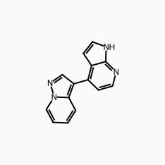 c1ccn2ncc(-c3ccnc4[nH]ccc34)c2c1